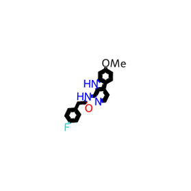 COc1ccc2c(c1)[nH]c1c(NC(=O)Cc3ccc(F)cc3)nccc12